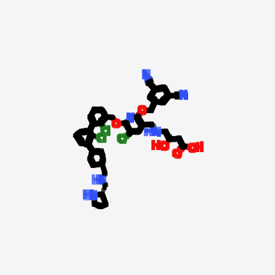 N#Cc1cc(C#N)cc(COc2nc(OCc3cccc(-c4cccc(-c5ccc(CNC[C@@H]6CCCN6)cc5)c4Cl)c3Cl)c(Cl)cc2CNC[C@@H](O)CC(=O)O)c1